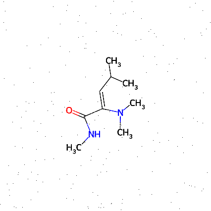 CNC(=O)/C(=C/C(C)C)N(C)C